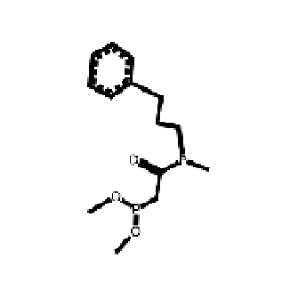 COP(CC(=O)P(C)CCCc1ccccc1)OC